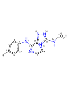 Cc1ccc(Nc2nccn3c(NC(=O)O)nnc23)cc1